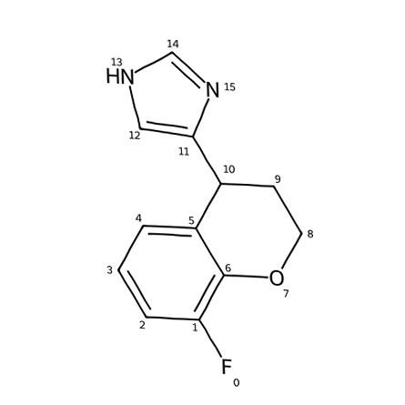 Fc1cccc2c1OCCC2c1c[nH]cn1